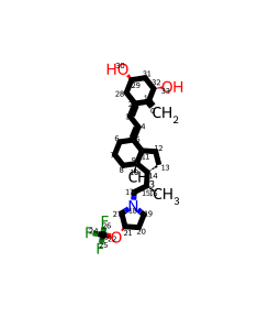 C=C1/C(=C\C=C2/CCC[C@@]3(C)C2CC[C@@H]3[C@H](C)CN2CC[C@H](OC(F)(F)F)C2)C[C@@H](O)C[C@@H]1O